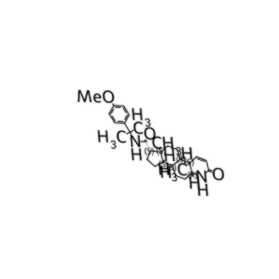 COc1ccc(C(C)(C)NC(=O)[C@H]2CC[C@H]3[C@@H]4CC[C@H]5NC(=O)C=C[C@]5(C)[C@H]4CC[C@]23C)cc1